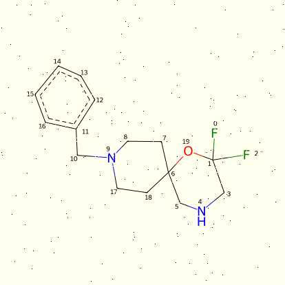 FC1(F)CNCC2(CCN(Cc3ccccc3)CC2)O1